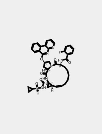 O=C(N[C@H]1CCCCCC=C[C@@H]2C[C@@]2(C(=O)NS(=O)(=O)C2CC2)NC(=O)[C@@H]2C[C@@H](Oc3nc4ncccc4c4ccccc34)CN2C1=O)c1ccccc1F